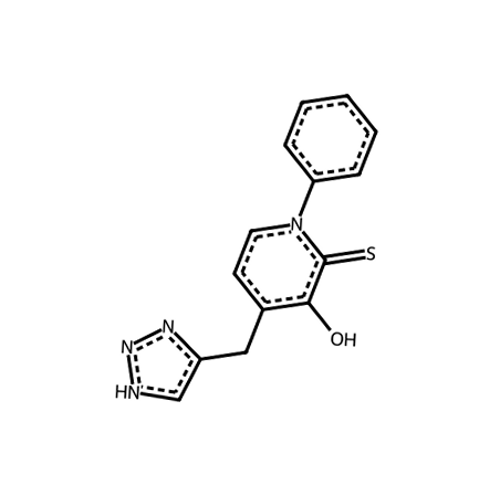 Oc1c(Cc2c[nH]nn2)ccn(-c2ccccc2)c1=S